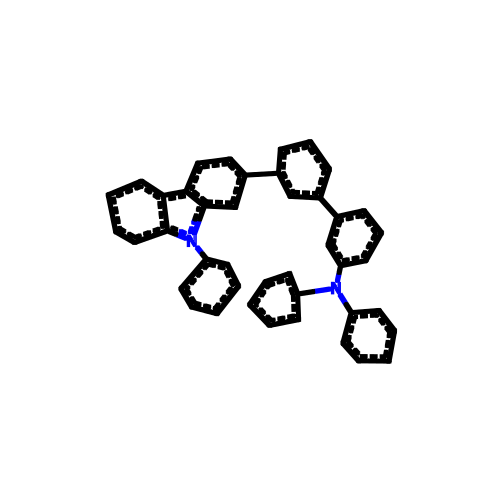 c1ccc(N(c2ccccc2)c2cccc(-c3cccc(-c4ccc5c6ccccc6n(-c6ccccc6)c5c4)c3)c2)cc1